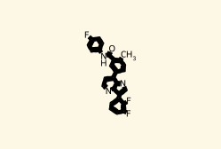 Cc1ccc(C2=CC=NC3C(c4cccc(F)c4F)=CN=C23)cc1C(=O)Nc1ccc(F)cc1